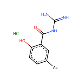 CC(=O)c1ccc(O)c(C(=O)NC(=N)N)c1.Cl